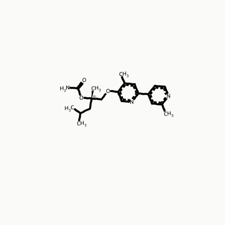 Cc1cc(-c2cc(C)c(OC[C@](C)(CC(C)C)OC(N)=O)cn2)ccn1